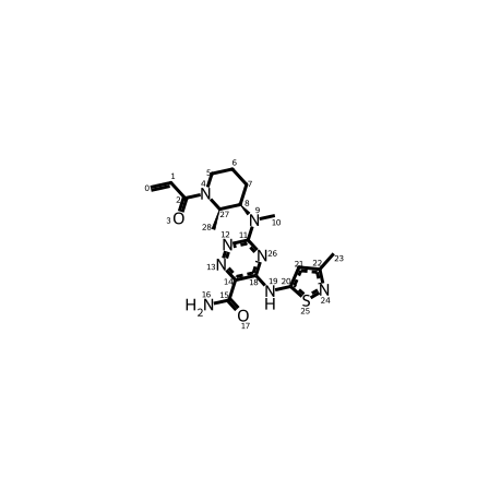 C=CC(=O)N1CCC[C@@H](N(C)c2nnc(C(N)=O)c(Nc3cc(C)ns3)n2)[C@H]1C